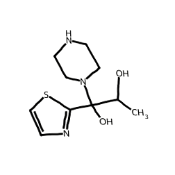 CC(O)C(O)(c1nccs1)N1CCNCC1